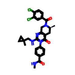 CNC(=O)c1ccc(-n2c(NCC3(C)CC3)nc3c(c2=O)C[C@@H](C)N(C(=O)c2ccc(Cl)c(Cl)c2)C3)cc1